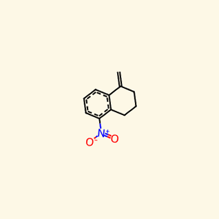 C=C1CCCc2c1cccc2[N+](=O)[O-]